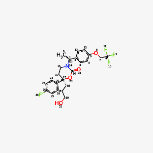 C[C@@H](c1ccc(OCC(F)(F)F)cc1)N1CC[C@](CCCO)(c2ccc(F)cc2)OC1=O